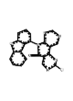 O=c1c2cnc(Cl)nc2c2cncnc2n1-c1cccc2oc3ccccc3c12